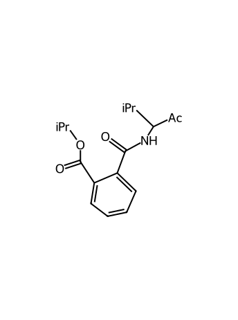 CC(=O)C(NC(=O)c1ccccc1C(=O)OC(C)C)C(C)C